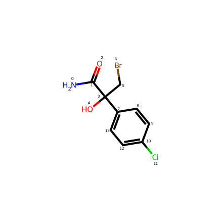 NC(=O)C(O)(CBr)c1ccc(Cl)cc1